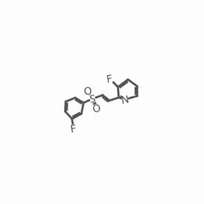 O=S(=O)(C=Cc1ncccc1F)c1cccc(F)c1